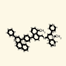 C=N/C(=C\C(=N/CC1=C2C(=C(c3ccc(-c4cc(-c5ccccc5)nc5ccc6ccccc6c45)cc3)CC1)C=CCC2C)c1ccncc1)c1ccncc1